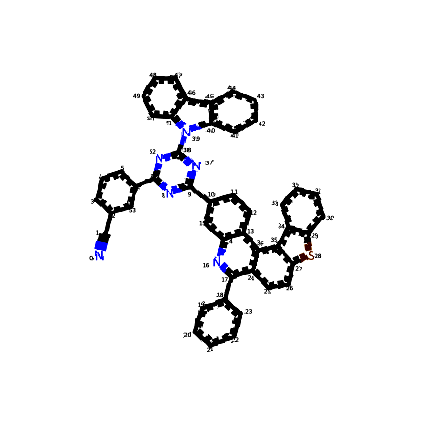 N#Cc1cccc(-c2nc(-c3ccc4c(c3)nc(-c3ccccc3)c3ccc5sc6ccccc6c5c34)nc(-n3c4ccccc4c4ccccc43)n2)c1